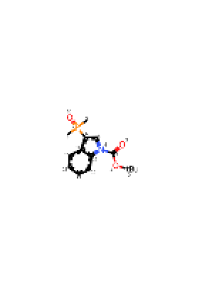 CC(C)(C)OC(=O)n1cc(P(C)(C)=O)c2ccccc21